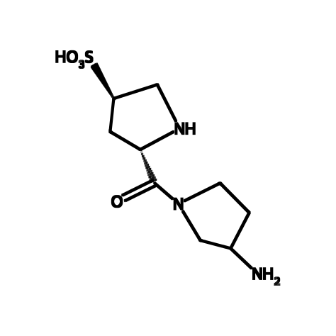 NC1CCN(C(=O)[C@@H]2C[C@@H](S(=O)(=O)O)CN2)C1